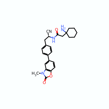 Cn1c(=O)oc2ccc(-c3ccc(C[C@@H](C#N)NC(=O)CC4(N)CCCCC4)cc3)cc21